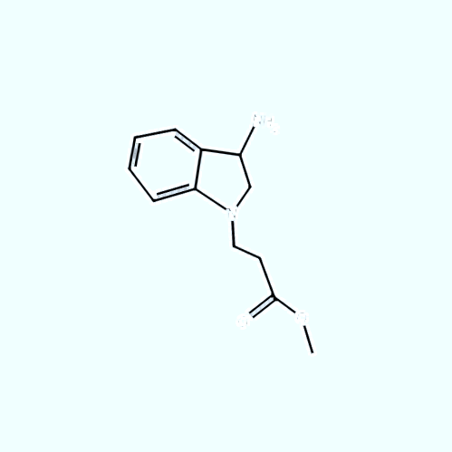 COC(=O)CCN1CC(N)c2ccccc21